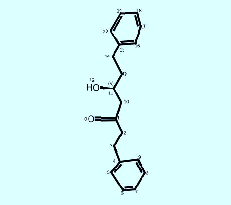 O=C(CCc1ccccc1)C[C@@H](O)CCc1ccccc1